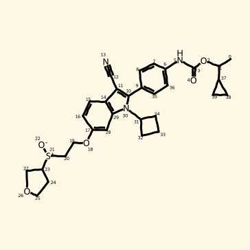 CC(OC(=O)Nc1ccc(-c2c(C#N)c3ccc(OCC[S+]([O-])C4CCOC4)cc3n2C2CCC2)cc1)C1CC1